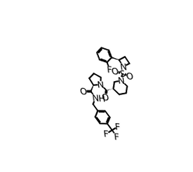 O=C(NCc1ccc(C(F)(F)F)cc1)[C@H]1CCCN1C(=O)[C@H]1CCCN(S(=O)(=O)N2CC[C@@H]2c2ccccc2F)C1